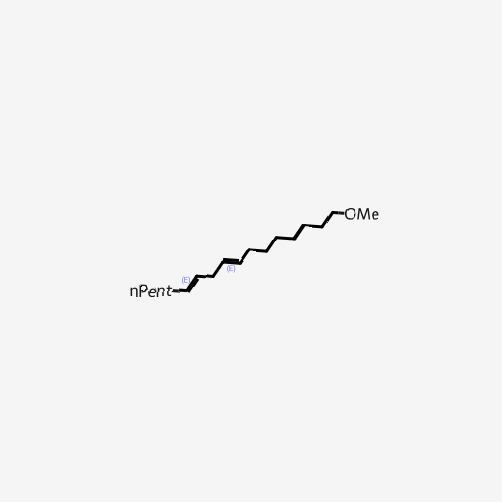 [CH2]OCCCCCCC/C=C/C/C=C/CCCCC